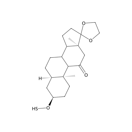 C[C@]12CC(=O)C3C(CC[C@@H]4C[C@H](OS)CC[C@]34C)C1CCC21OCCO1